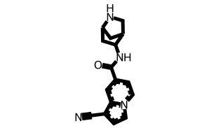 N#Cc1ccn2ccc(C(=O)NC3CC4CC3CN4)cc12